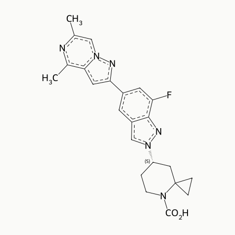 Cc1cn2nc(-c3cc(F)c4nn([C@H]5CCN(C(=O)O)C6(CC6)C5)cc4c3)cc2c(C)n1